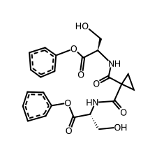 O=C(Oc1ccccc1)[C@@H](CO)NC(=O)C1(C(=O)N[C@H](CO)C(=O)Oc2ccccc2)CC1